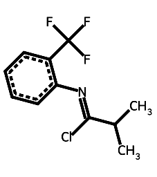 CC(C)C(Cl)=Nc1ccccc1C(F)(F)F